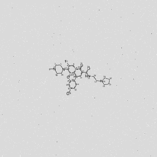 CN1CCN(c2c(F)cc3c(=O)c(C(=O)NCCN4CCCC4)cn4c3c2Oc2cc(Cl)ccc2-4)CC1